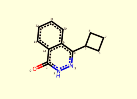 O=c1[nH]nc(C2CCC2)c2ccccc12